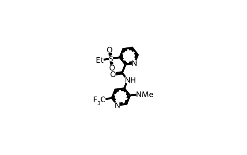 CCS(=O)(=O)c1cccnc1C(=O)Nc1cc(C(F)(F)F)ncc1NC